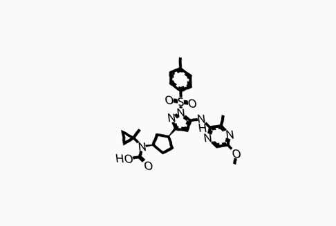 COc1cnc(Nc2cc([C@H]3CC[C@@H](N(C(=O)O)C4(C)CC4)C3)nn2S(=O)(=O)c2ccc(C)cc2)c(C)n1